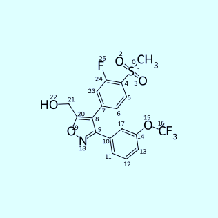 CS(=O)(=O)c1ccc(-c2c(-c3cccc(OC(F)(F)F)c3)noc2CO)cc1F